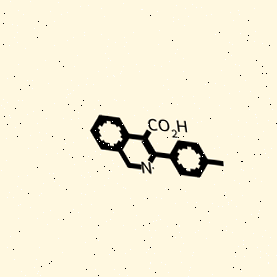 Cc1ccc(C2=C(C(=O)O)c3ccccc3C[N]2)cc1